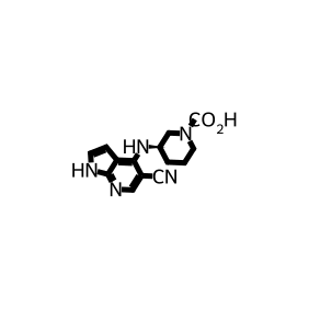 N#Cc1cnc2[nH]ccc2c1N[C@@H]1CCCN(C(=O)O)C1